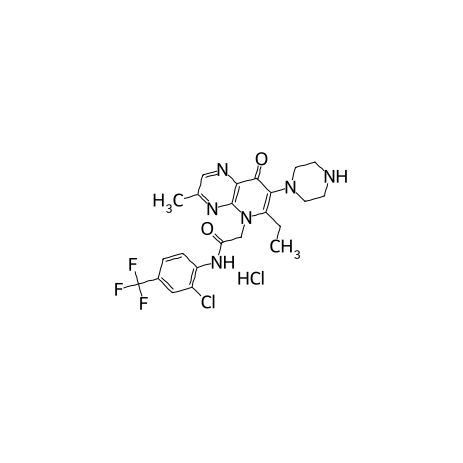 CCc1c(N2CCNCC2)c(=O)c2ncc(C)nc2n1CC(=O)Nc1ccc(C(F)(F)F)cc1Cl.Cl